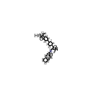 Cc1noc(-c2ccc(-c3ccc(C4(C(=O)O)CC4)cc3)cc2)c1/C=C/CN(CC1C=CC=CC1)S(C)(=O)=O